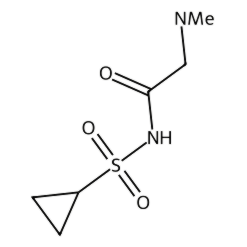 CNCC(=O)NS(=O)(=O)C1CC1